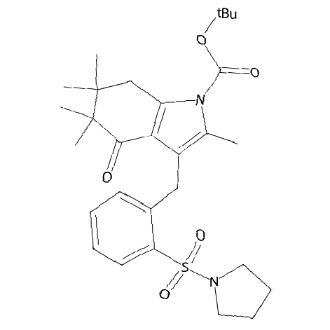 Cc1c(Cc2ccccc2S(=O)(=O)N2CCCC2)c2c(n1C(=O)OC(C)(C)C)CC(C)(C)C(C)(C)C2=O